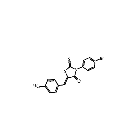 O=C1/C(=C/c2ccc(O)cc2)SC(=S)N1c1ccc(Br)cc1